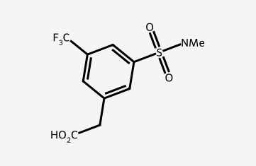 CNS(=O)(=O)c1cc(CC(=O)O)cc(C(F)(F)F)c1